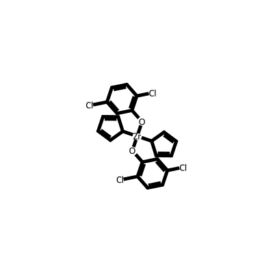 Clc1ccc(Cl)c([O][Zr]([O]c2cc(Cl)ccc2Cl)([CH]2C=CC=C2)[CH]2C=CC=C2)c1